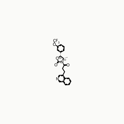 C[C@H]1[C@@H](c2cccc(OC(F)(F)F)c2)OC(=O)N1C(=O)CCc1cncc2ccccc12